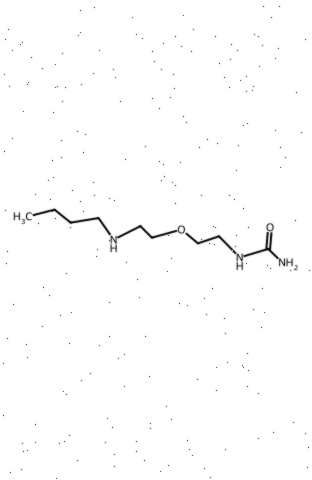 CCCCNCCOCCNC(N)=O